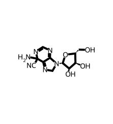 N#CC1(N)N=CN=C2C1=NCN2[C@@H]1O[C@H](CO)[C@@H](O)[C@H]1O